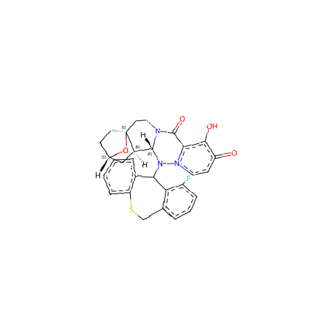 O=C1c2c(O)c(=O)ccn2N(C2c3ccccc3SCc3cccc(F)c32)[C@@H]2[C@H]3C[C@@H]4CC[C@@]3(CCN12)O4